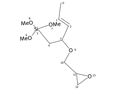 C/C=C/C(C[Si](OC)(OC)OC)OCC1CO1